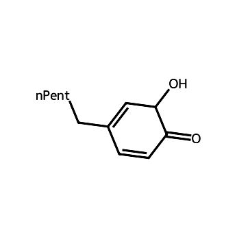 CCCCCCC1=CC(O)C(=O)C=C1